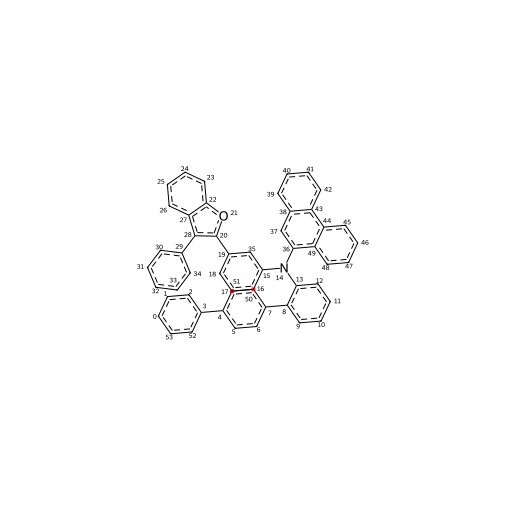 c1ccc(-c2ccc(-c3ccccc3N(c3cccc(-c4oc5ccccc5c4-c4ccccc4)c3)c3cc4ccccc4c4ccccc34)cc2)cc1